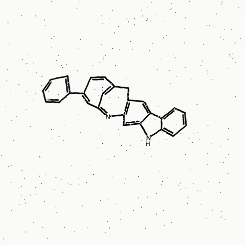 C1=CC(c2ccccc2)=CC2=Nc3cc4[nH]c5ccccc5c4cc3CC1=C2